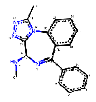 CN[C@@H]1N=C(c2ccccc2)c2ccccc2-n2c(C)nnc21